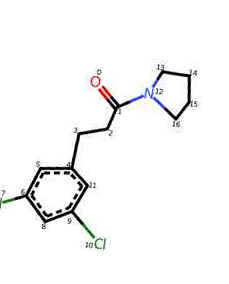 O=C(CCc1cc(Cl)cc(Cl)c1)N1CCCC1